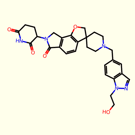 O=C1CCC(N2Cc3c(ccc4c3OCC43CCN(Cc4ccc5c(cnn5CCO)c4)CC3)C2=O)C(=O)N1